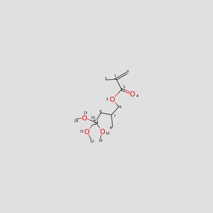 C=C(C)C(=O)OCC(C)C[Si](OC)(OC)OC